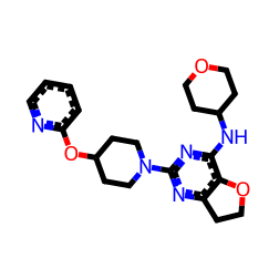 c1ccc(OC2CCN(c3nc4c(c(NC5CCOCC5)n3)OCC4)CC2)nc1